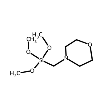 CO[Si](CN1CCOCC1)(OC)OC